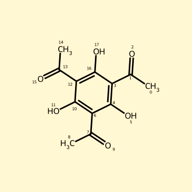 CC(=O)c1c(O)c(C(C)=O)c(O)c(C(C)=O)c1O